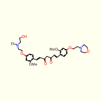 CCN(CCO)CCOc1ccc(/C=C/C(=O)CC(=O)/C=C/c2ccc(OCCN3CCOCC3)cc2OC)c(OC)c1